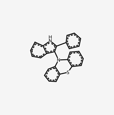 c1ccc(-c2[nH]c3ccccc3c2N2c3ccccc3Sc3ccccc32)cc1